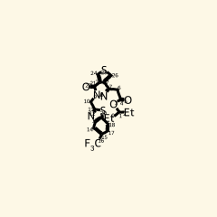 CCC(CC)OC(=O)Cc1nn(Cc2nc3cc(C(F)(F)F)ccc3s2)c(=O)c2cscc12